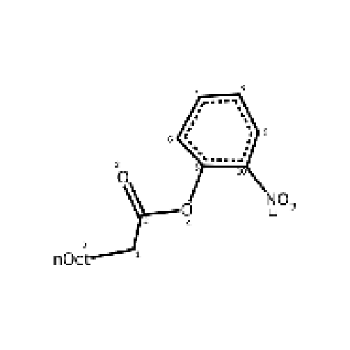 CCCCCCCCCC(=O)Oc1ccccc1[N+](=O)[O-]